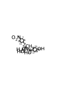 CC(C)(CCc1ccc([N+](=O)[O-])cc1)NC[C@H](O)c1ccc(O)cc1.Cl